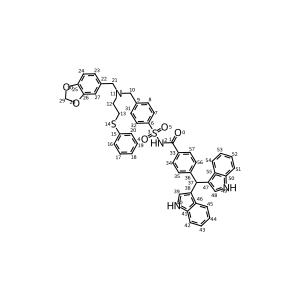 O=C(NS(=O)(=O)c1ccc(CN(CCSc2ccccc2)Cc2ccc3c(c2)OCO3)cc1)c1ccc(C(c2c[nH]c3ccccc23)c2c[nH]c3ccccc23)cc1